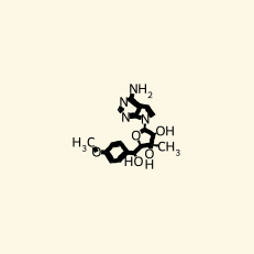 COc1ccc([C@H](O)[C@H]2O[C@@H](n3ccc4c(N)ncnc43)[C@H](O)[C@]2(C)O)cc1